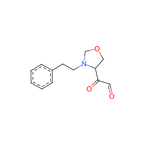 O=CC(=O)C1COCN1CCc1ccccc1